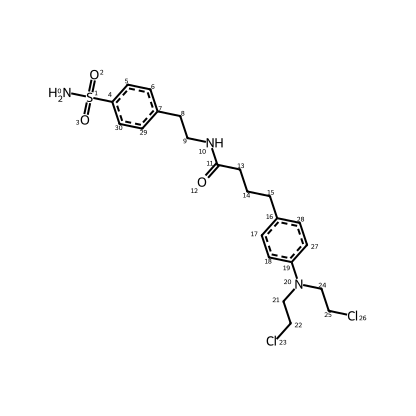 NS(=O)(=O)c1ccc(CCNC(=O)CCCc2ccc(N(CCCl)CCCl)cc2)cc1